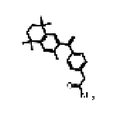 C=C(c1ccc(CC(N)=O)cc1)c1cc2c(cc1C)C(C)(C)CCC2(C)C